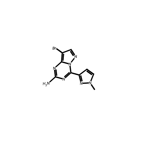 Cn1ccc(-c2nc(N)nc3c(Br)cnn23)n1